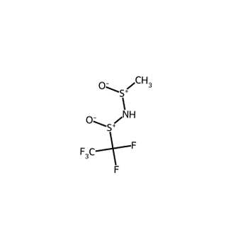 C[S+]([O-])N[S+]([O-])C(F)(F)C(F)(F)F